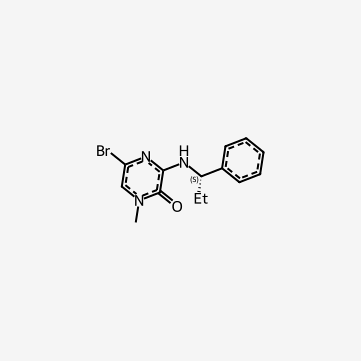 CC[C@H](Nc1nc(Br)cn(C)c1=O)c1ccccc1